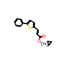 C1CC1.COC(=O)C=Cc1ccc(-c2ccccc2)s1